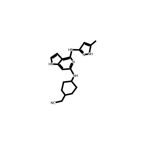 Cc1cc(Nc2nc(NC3CCC(CC#N)CC3)cc3[nH]ccc23)n[nH]1